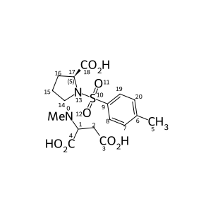 CNC(CC(=O)O)C(=O)O.Cc1ccc(S(=O)(=O)N2CCC[C@H]2C(=O)O)cc1